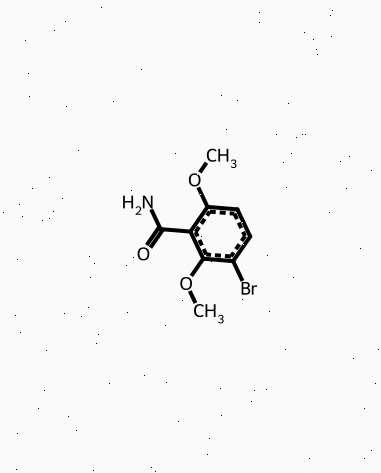 COc1ccc(Br)c(OC)c1C(N)=O